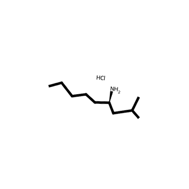 CCCCC[C@@H](N)CC(C)C.Cl